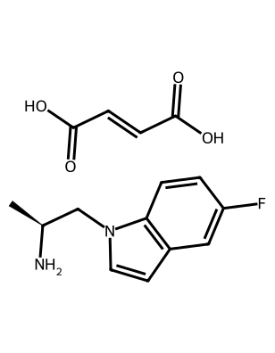 C[C@H](N)Cn1ccc2cc(F)ccc21.O=C(O)/C=C/C(=O)O